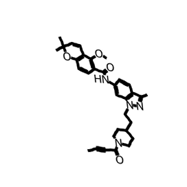 CC#CC(=O)N1CCC(CCn2nc(C)c3ccc(NC(=O)c4ccc5c(c4OC)C=CC(C)(C)O5)cc32)CC1